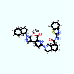 CC(C)(C)OC(=O)c1nc(N2CCc3cccc(C(=O)Nc4nc5ccccc5s4)c3C2)ccc1-c1cnn(C2CCc3ccccc32)c1